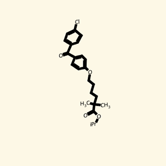 CC(C)OC(=O)C(C)(C)CCCCOc1ccc(C(=O)c2ccc(Cl)cc2)cc1